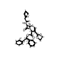 O=C(Cc1cccs1)NC1C(=O)N2C(C(=O)OC(c3ccccc3)c3ccccc3)C(C3OCCO3)=CS[C@H]12